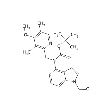 COc1c(C)cnc(CN(C(=O)OC(C)(C)C)c2cccc3c2ccn3C=O)c1C